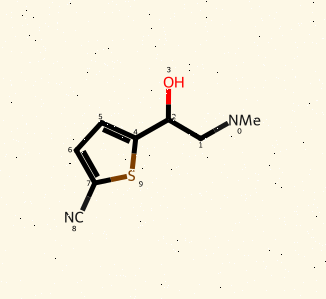 CNCC(O)c1ccc(C#N)s1